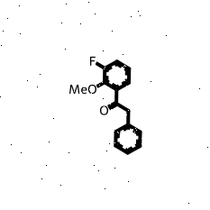 COc1c(F)cccc1C(=O)Cc1ccccc1